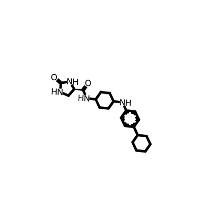 O=C1NC[C@H](C(=O)NC2CCC(Nc3ccc(C4CCCCC4)cc3)CC2)N1